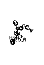 CC(F)(F)CN1CCC(Oc2ccc3c(-c4ncc(C(=O)NC5(C(=O)O)C6CC7CC(C6)CC5C7)c(C(F)(F)F)n4)cn(C4CCOCC4)c3c2)CC1